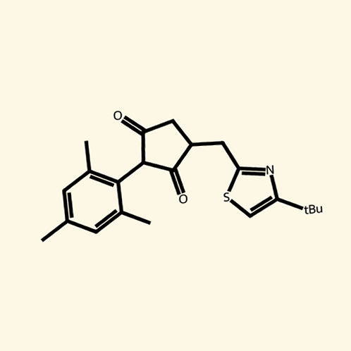 Cc1cc(C)c(C2C(=O)CC(Cc3nc(C(C)(C)C)cs3)C2=O)c(C)c1